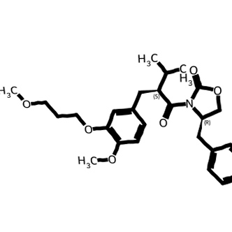 COCCCOc1cc(C[C@H](C(=O)N2C(=O)OC[C@H]2Cc2ccccc2)C(C)C)ccc1OC